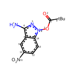 CC(C)(C)C(=O)On1nc(N)c2cc([N+](=O)[O-])ccc21